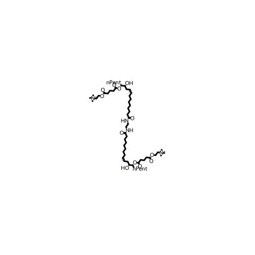 CCCCCC(OC(=O)CCCC(=O)OCC[N+](C)(C)C)C(O)C/C=C\CCCCCCCC(=O)NCCNC(=O)CCCCCCC/C=C\CC(O)C(CCCCC)OC(=O)CCCC(=O)OCC[N+](C)(C)C